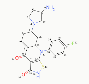 NC1CCN(C2CC=C3C(=O)c4c(s[nH]c4=O)N(c4ccc(F)cc4)C3C2)C1